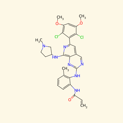 C=CC(=O)Nc1cccc(C)c1Nc1ncc2cc(-c3c(Cl)c(OC)cc(OC)c3Cl)nc(NC3CCN(C)C3)c2n1